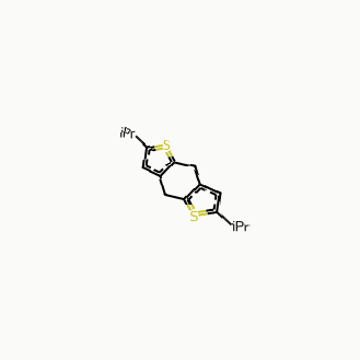 CC(C)c1cc2c(s1)Cc1cc(C(C)C)sc1C2